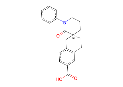 O=C(O)c1ccc2c(c1)CC[C@]1(CCCN(c3ccccc3)C1=O)C2